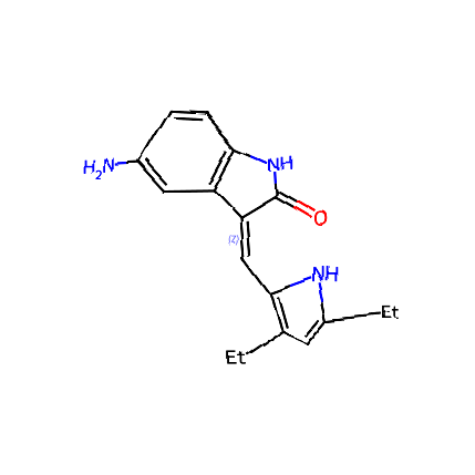 CCc1cc(CC)c(/C=C2\C(=O)Nc3ccc(N)cc32)[nH]1